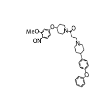 COc1cc(OC2CCN(C(=O)CCN3CCC(c4ccc(Oc5ccccc5)cc4)CC3)CC2)ccc1N=O